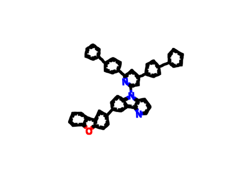 c1ccc(-c2ccc(-c3cc(-c4ccc(-c5ccccc5)cc4)nc(-n4c5ccc(-c6ccc7oc8ccccc8c7c6)cc5c5ncccc54)c3)cc2)cc1